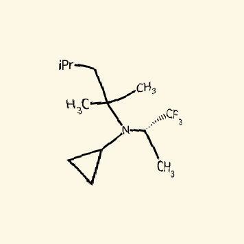 CC(C)CC(C)(C)N(C1CC1)[C@@H](C)C(F)(F)F